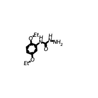 CCOc1ccc(OCC)c(NC(=O)NN)c1